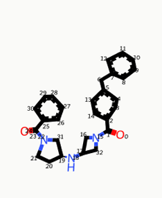 O=C(c1ccc(Cc2ccccc2)cc1)N1CC(N[C@@H]2CCN(C(=O)c3ccccc3)C2)C1